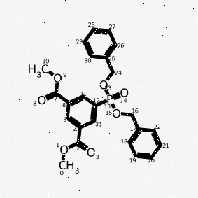 COC(=O)c1cc(C(=O)OC)cc(P(=O)(OCc2ccccc2)OCc2ccccc2)c1